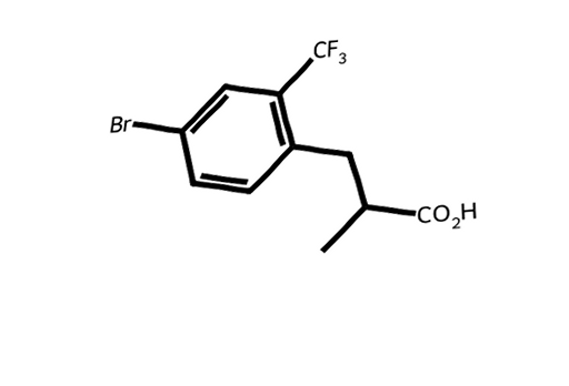 CC(Cc1ccc(Br)cc1C(F)(F)F)C(=O)O